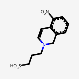 O=[N+]([O-])c1cccc2c1C=CN(CCCS(=O)(=O)O)C2